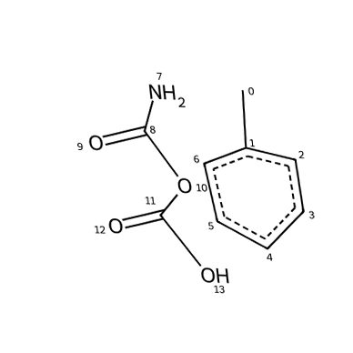 Cc1ccccc1.NC(=O)OC(=O)O